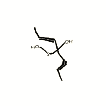 CC=CC(O)(C=CC)SO